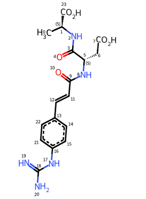 C[C@H](NC(=O)[C@H](CC(=O)O)NC(=O)C=Cc1ccc(NC(=N)N)cc1)C(=O)O